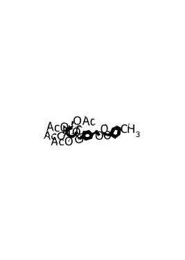 CC(=O)OC[C@H]1O[C@@H](Oc2ccc(COC(=O)Oc3ccc(C)cc3)cc2C)[C@H](OC(C)=O)[C@@H](OC(C)=O)[C@H]1OC(C)=O